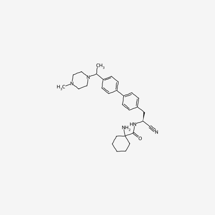 CC(c1ccc(-c2ccc(C[C@@H](C#N)NC(=O)C3(N)CCCCC3)cc2)cc1)N1CCN(C)CC1